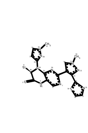 CC[C@@H]1C(=O)Nc2cnc(-c3cn(C)nc3-c3nccs3)nc2N1c1ccn(C)n1